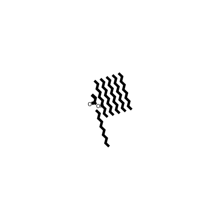 C=CC(=O)O.CCCCCCCCCC.CCCCCCCCCC.CCCCCCCCCC.CCCCCCCCCC.CCCCCCCCCC.CCCCCCCCCC